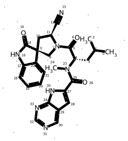 CC(C)C[C@@H](C(=O)N1C[C@]2(C[C@H]1C#N)C(=O)Nc1ccccc12)N(C)C(=O)c1cc2cncnc2[nH]1